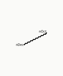 CCCCCCCC/C=C\CCCCCCCCCCCC[CH]CCCCCCCCCCCCC